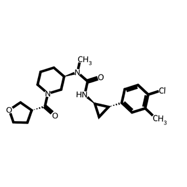 Cc1cc([C@@H]2C[C@H]2NC(=O)N(C)[C@@H]2CCCN(C(=O)[C@@H]3CCOC3)C2)ccc1Cl